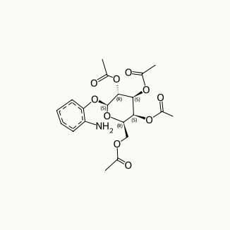 CC(=O)OC[C@H]1O[C@@H](Oc2ccccc2N)[C@H](OC(C)=O)[C@@H](OC(C)=O)[C@H]1OC(C)=O